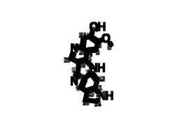 COc1cc2c(Nc3ccc4c(c3)NCC4)c(C#N)cnc2cc1O